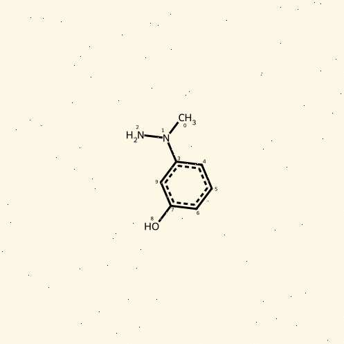 CN(N)c1cccc(O)c1